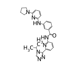 CC(C)n1cnnc1-c1cccc(NC(=O)c2cccc(Nc3cccc(N4CCCC4)n3)c2)n1